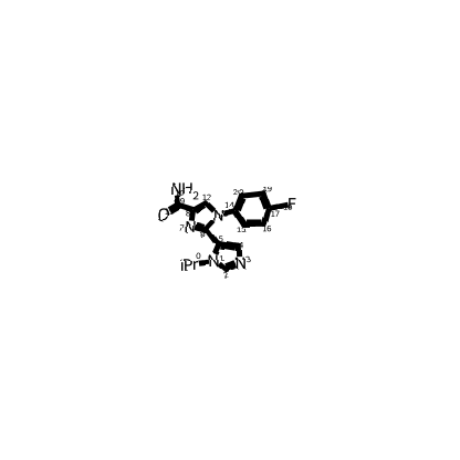 CC(C)n1cncc1-c1nc(C(N)=O)cn1-c1ccc(F)cc1